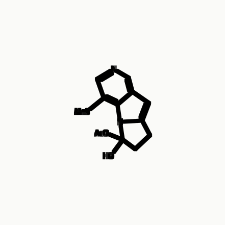 CSc1cncc2cc3n(c12)C(O)(OC(C)=O)CC3